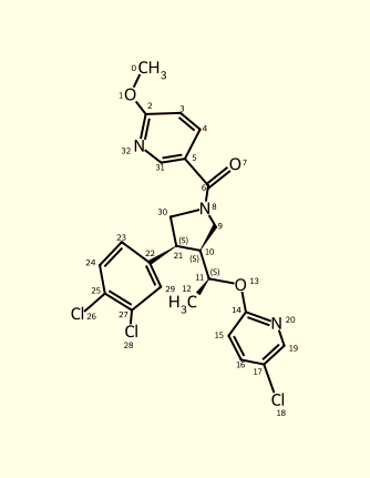 COc1ccc(C(=O)N2C[C@@H]([C@H](C)Oc3ccc(Cl)cn3)[C@@H](c3ccc(Cl)c(Cl)c3)C2)cn1